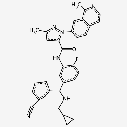 Cc1cc(C(=O)Nc2cc(C(NCC3CC3)c3cccc(C#N)c3)ccc2F)n(-c2ccc3ccnc(C)c3c2)n1